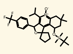 CC(C)c1c2c(c3c([n+]1[O-])CC(C)(C)CC3O[Si](C)(C)C(C)(C)C)C1(CCCC1)OC2c1ccc(C(F)(F)F)cc1